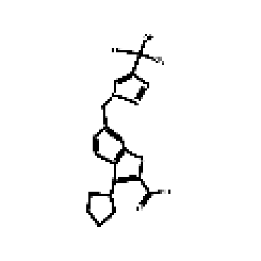 CCC(O)(c1cn(Cc2ccc3c(C4CCCC4)c(C(N)=O)sc3c2)nn1)C(F)(F)F